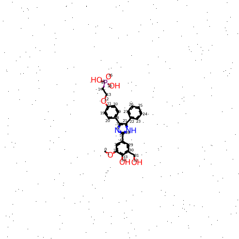 COc1cc(-c2nc(-c3ccc(OCCP(=O)(O)O)cc3)c(-c3ccccc3)[nH]2)cc(CO)c1O